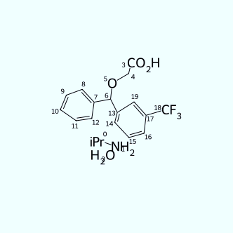 CC(C)N.O.O=C(O)COC(c1ccccc1)c1cccc(C(F)(F)F)c1